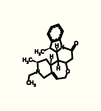 CCN1CC2=CCOC3CC(=O)N4c5ccccc5[C@@H](C)[C@@H]4[C@H]3[C@@H]2C[C@H]1C